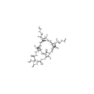 C=CCOC(=O)CCC1=C(C)C2/C=c3\[nH]/c(c(C(C)OCC=C)c3C)=C\C3N/C(=C\c4[nH]c(c(CCC(=O)OCC=C)c4C)/C=C/1N2)C(C(C)OCC=C)=C3C